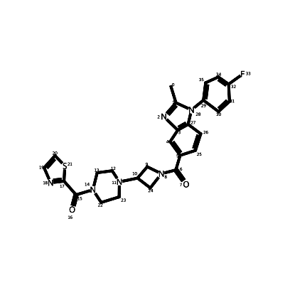 Cc1nc2cc(C(=O)N3CC(N4CCN(C(=O)c5nccs5)CC4)C3)ccc2n1-c1ccc(F)cc1